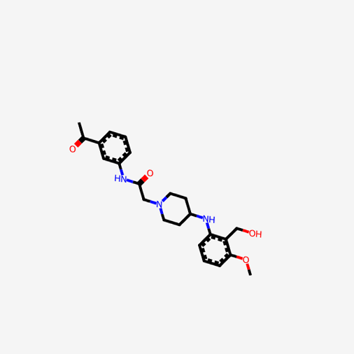 COc1cccc(NC2CCN(CC(=O)Nc3cccc(C(C)=O)c3)CC2)c1CO